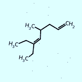 C=CCC(C)C=C(CC)CC